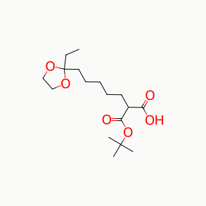 CCC1(CCCCCC(C(=O)O)C(=O)OC(C)(C)C)OCCO1